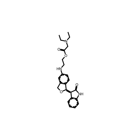 CCN(CC)CC(=O)OCCNc1ccc2c(c1)COC2=C1C(=O)Nc2ccccc21